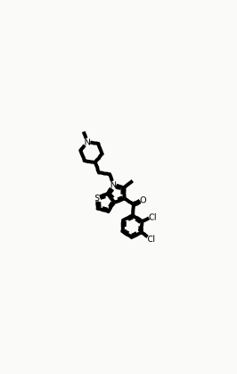 Cc1c(C(=O)c2cccc(Cl)c2Cl)c2ccsc2n1CCC1CCN(C)CC1